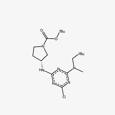 CN(CC(C)(C)C)c1nc(Cl)nc(N[C@@H]2CCN(C(=O)OC(C)(C)C)C2)n1